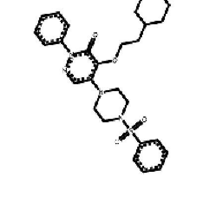 O=c1c(OCCC2CCCCC2)c(N2CCN(S(=O)(=O)c3ccccc3)CC2)cnn1-c1ccccc1